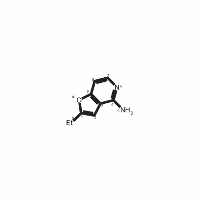 CCc1cc2c(N)nccc2o1